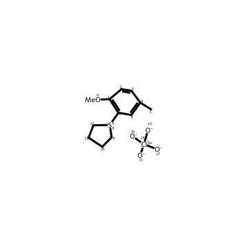 COc1ccc(C)cc1[S+]1CCCC1.[O-][Cl+3]([O-])([O-])[O-]